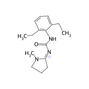 CCc1cccc(CC)c1NC(=O)/N=C1/CCCN1C